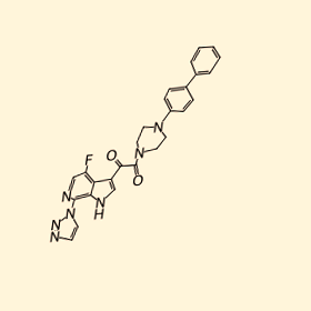 O=C(C(=O)N1CCN(c2ccc(-c3ccccc3)cc2)CC1)c1c[nH]c2c(-n3ccnn3)ncc(F)c12